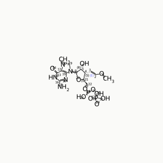 CO/C=C/[C@H]1[C@@H](O)[C@H](n2c[n+](C)c3c(=O)[nH]c(N)nc32)O[C@@H]1COP(=O)(O)OP(=O)(O)O